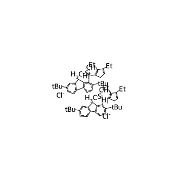 CCC1=CC[C]([Hf]([c]2c(C(C)(C)C)ccc3c2Cc2cc(C(C)(C)C)ccc2-3)=[Si](C)C)=C1CC.CCC1=CC[C]([Hf]([c]2c(C(C)(C)C)ccc3c2Cc2cc(C(C)(C)C)ccc2-3)=[Si](C)C)=C1CC.[Cl-].[Cl-]